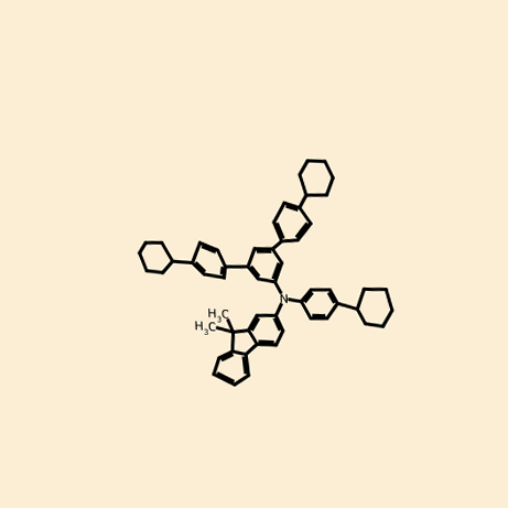 CC1(C)c2ccccc2-c2ccc(N(c3ccc(C4CCCCC4)cc3)c3cc(-c4ccc(C5CCCCC5)cc4)cc(-c4ccc(C5CCCCC5)cc4)c3)cc21